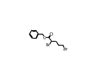 O=C(OCc1ccccc1)C(Br)CCCBr